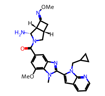 CO/N=C1\C[C@@H]2CN(C(=O)c3cc(OC)c4c(c3)nc(-c3cc5cccnc5n3CC3CC3)n4C)[C@H](N)[C@H]12